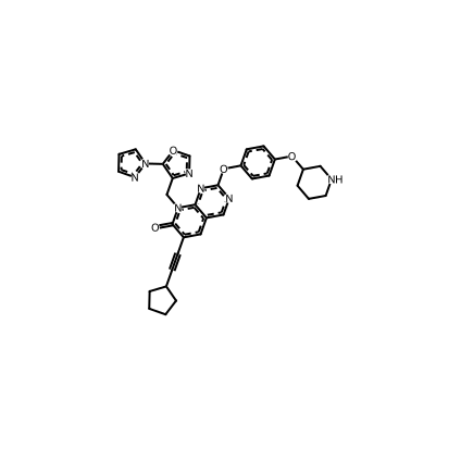 O=c1c(C#CC2CCCC2)cc2cnc(Oc3ccc(OC4CCCNC4)cc3)nc2n1Cc1ncoc1-n1cccn1